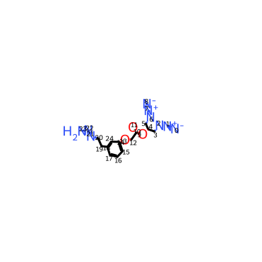 [N-]=[N+]=NCC(CN=[N+]=[N-])OC(=O)COc1cccc(CCN=NN)c1